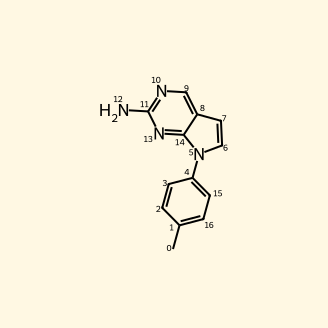 Cc1ccc(-n2ccc3cnc(N)nc32)cc1